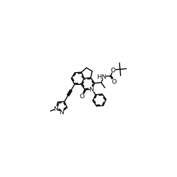 CC(NC(=O)OC(C)(C)C)c1c2c3c(ccc(C#Cc4cnn(C)c4)c3c(=O)n1-c1ccccc1)CC2